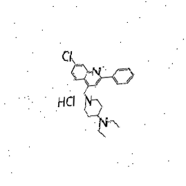 CCN(CC)C1CCN(Cc2cc(-c3ccccc3)nc3cc(Cl)ccc23)CC1.Cl